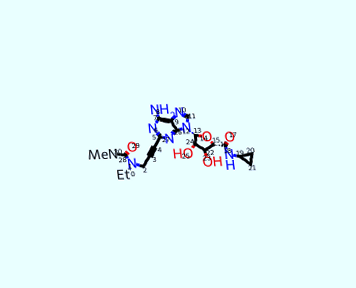 CCN(CC#Cc1nc(N)c2ncn([C@@H]3O[C@H](C(=O)NC4CC4)C(O)C3O)c2n1)C(=O)NC